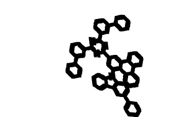 c1ccc(-c2cccc(-c3nc(-c4cccc(-c5ccccc5)c4)nc(-c4cc(-n5c6ccccc6c6cc(-c7ccccc7)ccc65)c5c6ccccc6c6ccccc6c5c4)n3)c2)cc1